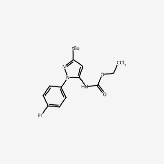 CCc1ccc(-n2nc(C(C)(C)C)cc2NC(=O)OCC(Cl)(Cl)Cl)cc1